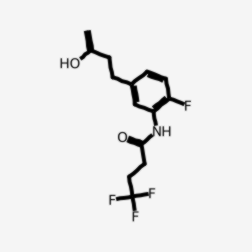 C=C(O)CCc1ccc(F)c(NC(=O)CCC(F)(F)F)c1